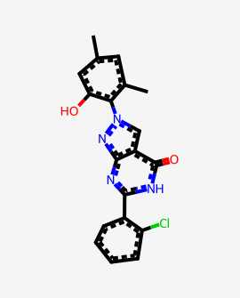 Cc1cc(C)c(-n2cc3c(=O)[nH]c(-c4ccccc4Cl)nc3n2)c(O)c1